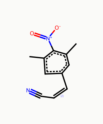 Cc1cc(/C=C\C#N)cc(C)c1[N+](=O)[O-]